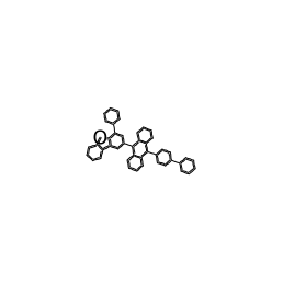 c1ccc(-c2ccc(-c3c4ccccc4c(-c4cc(-c5ccccc5)c5oc6ccccc6c5c4)c4ccccc34)cc2)cc1